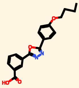 CCCCOc1ccc(-c2nnc(-c3cccc(C(=O)O)c3)o2)cc1